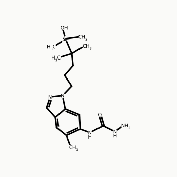 Cc1cc2cnn(CCCC(C)(C)[Si](C)(C)O)c2cc1NC(=O)NN